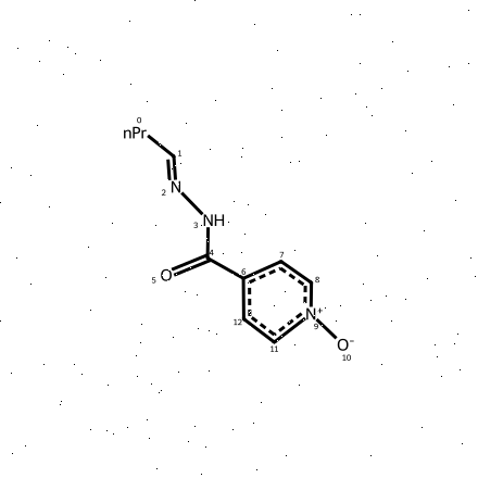 CCC/C=N/NC(=O)c1cc[n+]([O-])cc1